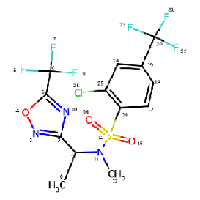 CC(c1noc(C(F)(F)F)n1)N(C)S(=O)(=O)c1ccc(C(F)(F)F)cc1Cl